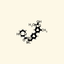 Cc1cc(-c2ccc(C[C@@H](C#N)NC(=O)[C@@H]3CNCCCO3)cc2)cc2c1OC(O)N2C